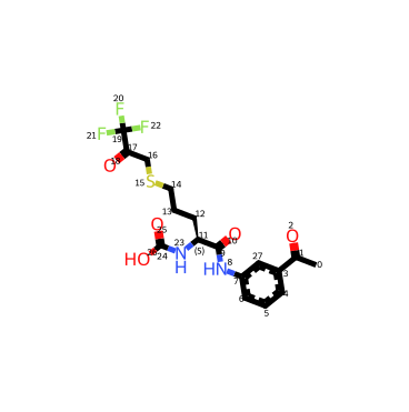 CC(=O)c1cccc(NC(=O)[C@H](CCCSCC(=O)C(F)(F)F)NC(=O)O)c1